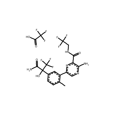 Cc1ccc(C(O)(C(N)=O)C(F)(F)F)cc1-c1cnc(N)c(C(=O)NCC(F)(F)F)n1.O=C(O)C(F)(F)F